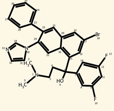 CN(C)CCC(O)(c1cc(F)cc(F)c1)c1cc(Br)cc2cc(-c3ccccc3)c(-n3ccnc3)cc12